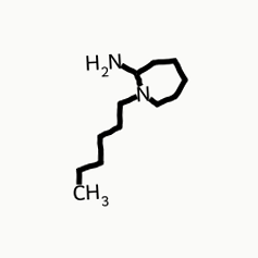 CCCCCCN1CCCCCC1N